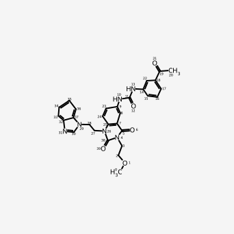 COCCn1c(=O)c2cc(NC(=O)Nc3cccc(C(C)=O)c3)ccc2n(CCn2cnc3ccccc32)c1=O